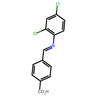 O=C(O)c1ccc(/C=N/c2ccc(Cl)cc2Cl)cc1